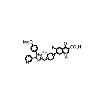 CCn1cc(C(=O)O)c(=O)c2cc(F)c(N3CCN(CN4N=C(c5cccnc5)N(c5ccc(OC)cc5)C4S)CC3)cc21